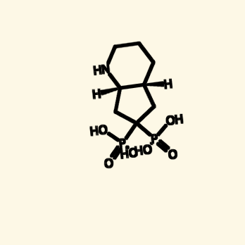 O=P(O)(O)C1(P(=O)(O)O)C[C@H]2CCCN[C@H]2C1